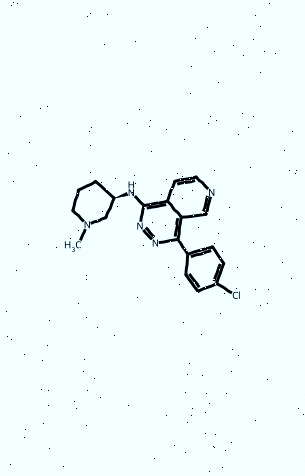 CN1CCC[C@@H](Nc2nnc(-c3ccc(Cl)cc3)c3cnccc23)C1